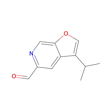 CC(C)c1coc2cnc(C=O)cc12